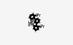 CC(C)c1cccc(C(C)C)c1-c1cccc(-c2c(C(C)C)cccc2C(C)C)c1O